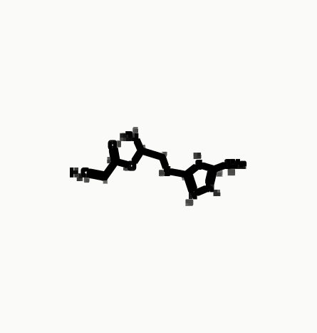 C=CC(=O)OC(CCCC)CSc1nnc(SC)s1